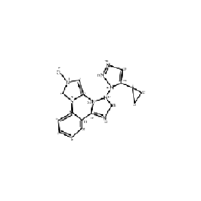 ClN1C=C2N(C1)c1ccccc1C1=NCN(n3nncc3C3CC3)N21